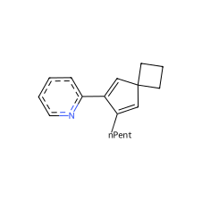 CCCCCC1=CC2(C=C1c1ccccn1)CCC2